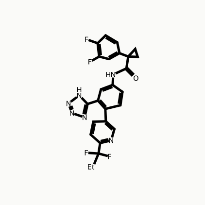 CCC(F)(F)c1ccc(-c2ccc(NC(=O)C3(c4ccc(F)c(F)c4)CC3)cc2-c2nnn[nH]2)cn1